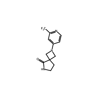 O=C1NCCC12CN(c1ccnc(C(F)(F)F)c1)C2